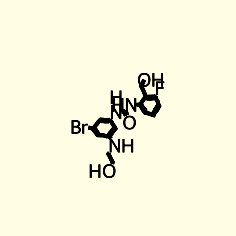 O=C(Nc1cc(Br)cc(NCCO)c1)Nc1cccc(F)c1CO